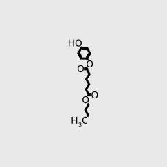 CCCCOC(=O)CCCCC(=O)Oc1ccc(O)cc1